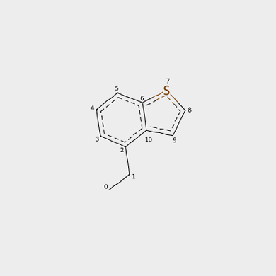 CCc1cccc2sccc12